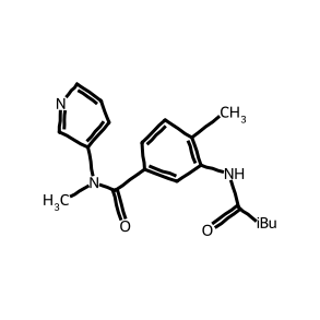 CCC(C)C(=O)Nc1cc(C(=O)N(C)c2cccnc2)ccc1C